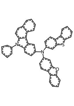 c1ccc(-n2c3ccc(N(c4ccc5c(c4)oc4ccccc45)c4ccc5c(c4)sc4ccccc45)cc3c3c4ccccc4ccc32)cc1